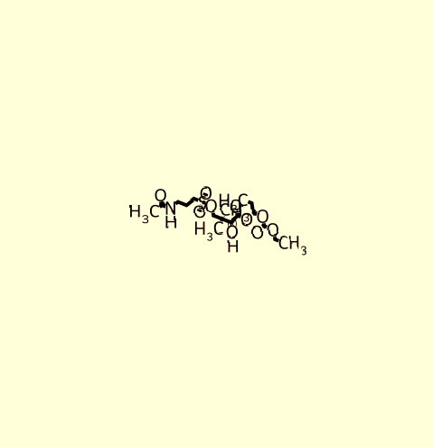 CCOC(=O)OC(CC)OC(=O)[C@H](O)C(C)(C)COS(=O)(=O)CCCNC(C)=O